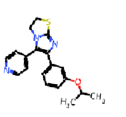 CC(C)Oc1cccc(-c2nc3n(c2-c2ccncc2)CCS3)c1